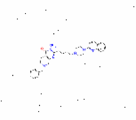 Nn1c(CCCCN2CCN(c3ccc4ccccc4n3)CC2)nc2c(c1=O)CCN(Cc1ccccc1)C2